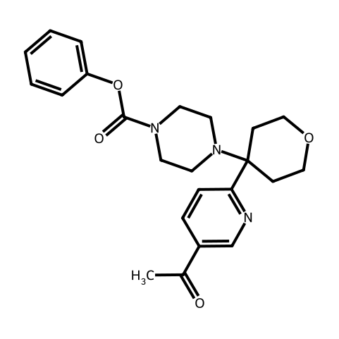 CC(=O)c1ccc(C2(N3CCN(C(=O)Oc4ccccc4)CC3)CCOCC2)nc1